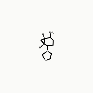 NC1CCC(N2CCOCC2)[C@@H]2C[C@H]12